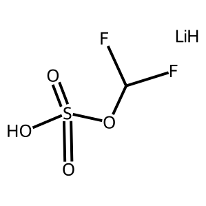 O=S(=O)(O)OC(F)F.[LiH]